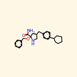 NC(=O)C1(OCc2ccccc2)CC(Cc2ccc(C3CCCCC3)cc2)CN1